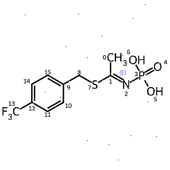 C/C(=N\P(=O)(O)O)SCc1ccc(C(F)(F)F)cc1